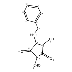 O=CN1C(=O)C(O)C(NCc2ccccc2)C1=O